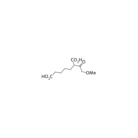 COCC(=O)C(CCCCC(=O)O)C(=O)O